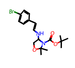 CC(C)(C)OC(=O)N1C(N/C=C/c2ccc(Br)cc2)COC1(C)C